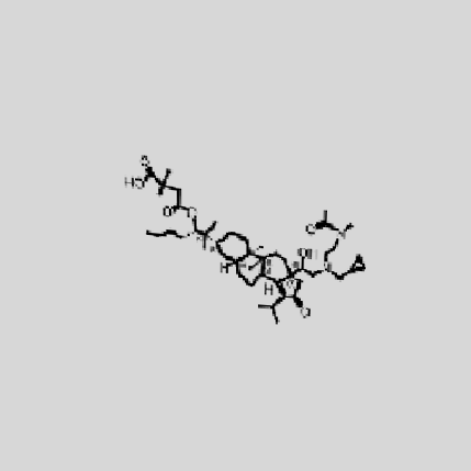 CCCC[C@H](OC(=O)CC(C)(C)C(=O)O)C(C)(C)[C@@H]1CC[C@]2(C)[C@H](CC[C@@H]3C4=C(C(C)C)C(=O)C[C@]4([C@@H](O)CN(CCN(C)C(C)=O)CC4CC4)CC[C@]32C)C1